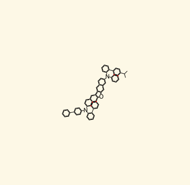 CC(C)c1ccc(-c2ccccc2N(c2ccccc2)c2ccc3cc4c(cc3c2)oc2cc3cc(N(c5ccc(-c6ccccc6)cc5)c5ccccc5-c5ccccc5)ccc3cc24)cc1